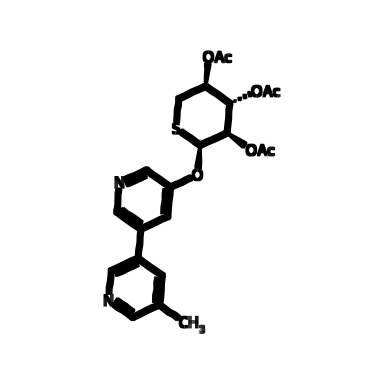 CC(=O)O[C@@H]1[C@@H](OC(C)=O)[C@@H](Oc2cncc(-c3cncc(C)c3)c2)SC[C@H]1OC(C)=O